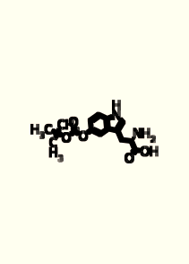 CC(C)(C)OC(=O)Oc1ccc2[nH]cc(C[C@H](N)C(=O)O)c2c1